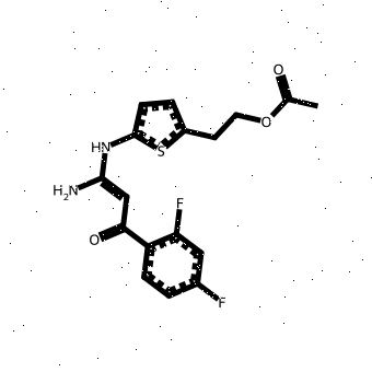 CC(=O)OCCc1ccc(N/C(N)=C/C(=O)c2ccc(F)cc2F)s1